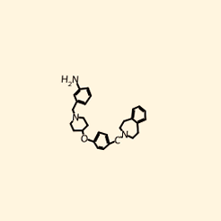 Nc1cccc(CN2CCC(Oc3ccc(CN4CCc5ccccc5CC4)cc3)CC2)c1